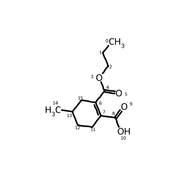 CCCOC(=O)C1=C(C(=O)O)CCC(C)C1